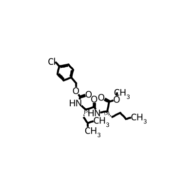 CCCC[C@H](NC(=O)[C@H](CC(C)C)NC(=O)OCc1ccc(Cl)cc1)C(=O)OC